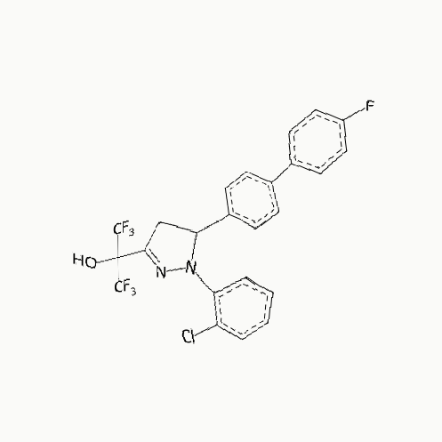 OC(C1=NN(c2ccccc2Cl)C(c2ccc(-c3ccc(F)cc3)cc2)C1)(C(F)(F)F)C(F)(F)F